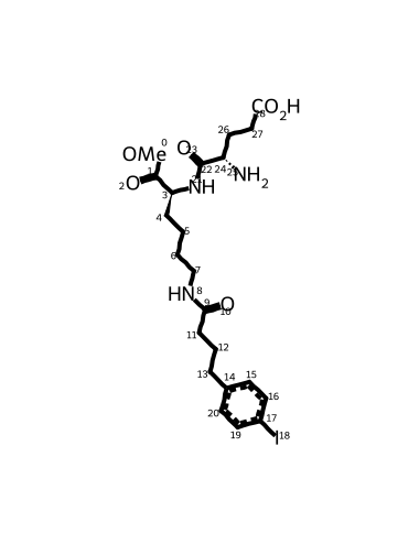 COC(=O)[C@H](CCCCNC(=O)CCCc1ccc(I)cc1)NC(=O)[C@@H](N)CCC(=O)O